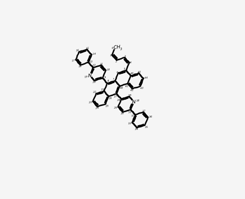 C/C=C\C=C/c1cc2c(-c3ccc(-c4ccccc4)nc3)c3ccccc3c(-c3ccc(-c4ccccc4)nc3)c2c2ccccc12